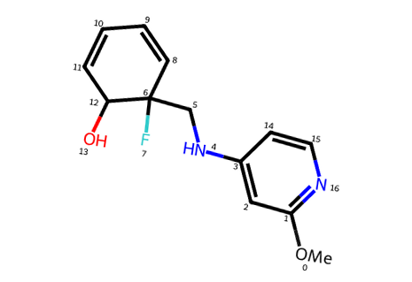 COc1cc(NCC2(F)C=CC=CC2O)ccn1